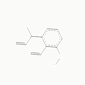 C=C[C](C)c1cccc(OC(C)C)c1C=C